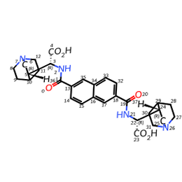 O=C(N[C@@H](C(=O)O)[C@H]1CN2CCC1CC2)c1ccc2cc(C(=O)N[C@@H](C(=O)O)[C@H]3CN4CCC3CC4)ccc2c1